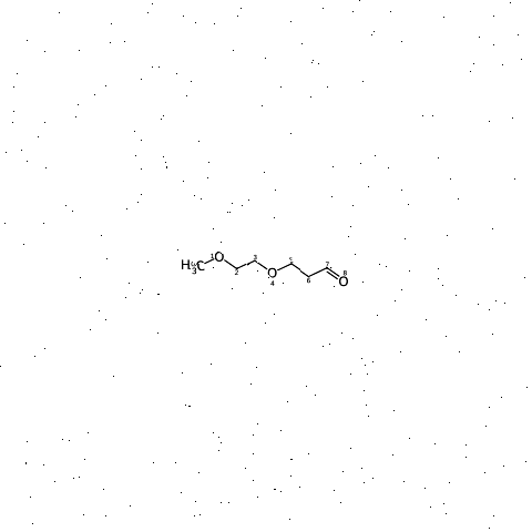 COCCOCC[C]=O